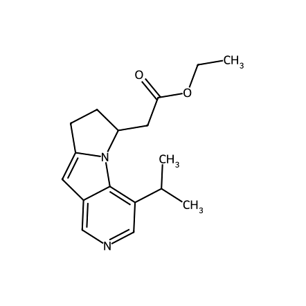 CCOC(=O)CC1CCc2cc3cncc(C(C)C)c3n21